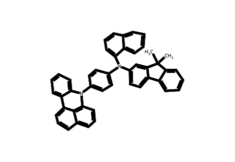 CC1(C)c2ccccc2-c2ccc(N(c3ccc(N4c5ccccc5-c5cccc6cccc4c56)cc3)c3cccc4ccccc34)cc21